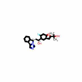 CC(C)(O)c1cc2cc([C@H](O)C[C@H]3c4ccccc4-c4cncn43)c(F)cc2o1